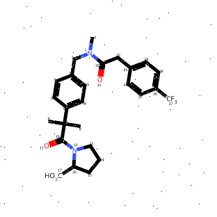 CN(Cc1ccc(C(C)(C)C(=O)N2CCCC2C(=O)O)cc1)C(=O)Cc1ccc(C(F)(F)F)cc1